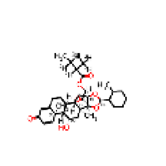 [2H]C([2H])([2H])C([2H])(C(=O)OCC(=O)[C@@]12O[C@H](C3CCCCC3C)O[C@@H]1C[C@H]1[C@@H]3CCC4=CC(=O)C=C[C@]4(C)[C@H]3[C@@H](O)C[C@@]12C)C([2H])([2H])C